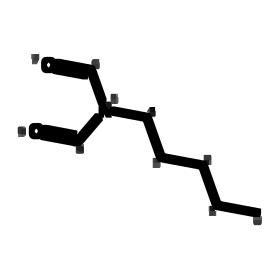 CCCCCN(C=O)C=O